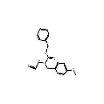 COc1ccc(CN(C(=O)OCc2ccccc2)[C@@H](C)C=O)cc1